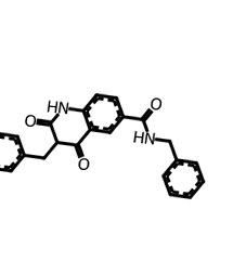 O=C(NCc1ccccc1)c1ccc2c(c1)C(=O)C(Cc1ccccc1)C(=O)N2